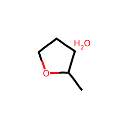 CC1CCCO1.O